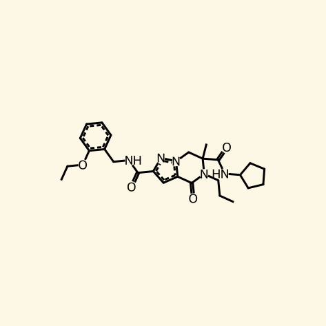 CCCN1C(=O)c2cc(C(=O)NCc3ccccc3OCC)nn2CC1(C)C(=O)NC1CCCC1